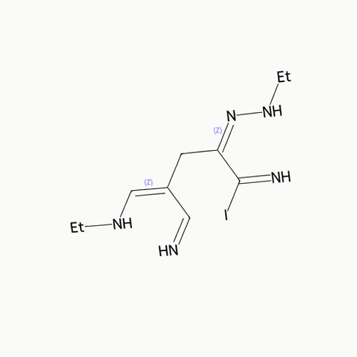 CCN/C=C(\C=N)C/C(=N/NCC)C(=N)I